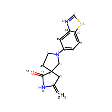 C=C1CC2(CCN(c3ccc4scnc4c3)C2)C(=O)N1